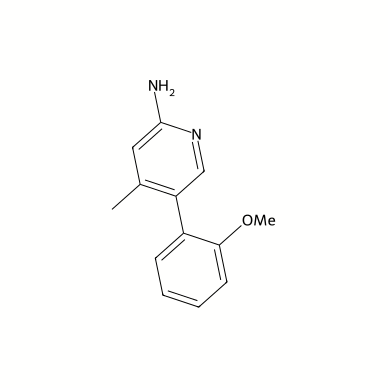 COc1ccccc1-c1cnc(N)cc1C